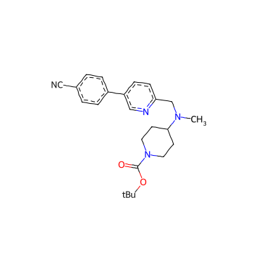 CN(Cc1ccc(-c2ccc(C#N)cc2)cn1)C1CCN(C(=O)OC(C)(C)C)CC1